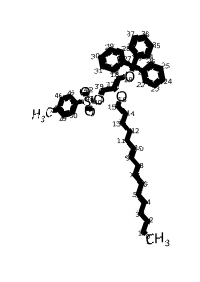 CCCCCCCCCCCCCCCCOC(COC(c1ccccc1)(c1ccccc1)c1ccccc1)COS(=O)(=O)c1ccc(C)cc1